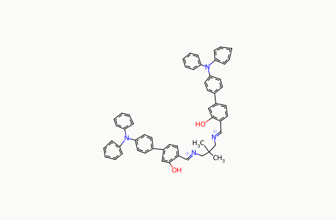 CC(C)(C/N=C/c1ccc(-c2ccc(N(c3ccccc3)c3ccccc3)cc2)cc1O)C/N=C/c1ccc(-c2ccc(N(c3ccccc3)c3ccccc3)cc2)cc1O